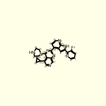 Fc1cccnc1-c1cc2c(-c3nc(N4CCNCC4)c4c(C5CC5)cncc4n3)ccnc2[nH]1